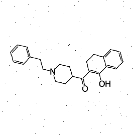 O=C(C1=C(O)c2ccccc2CC1)C1CCN(CCc2ccccc2)CC1